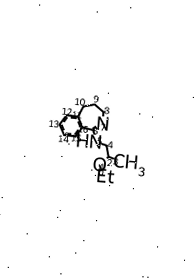 CCOC(C)CNC1=NCCCc2ccccc21